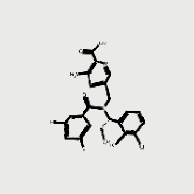 CC[C@@H](c1cccc(Cl)c1Cl)N(Cc1cnc(C(=O)O)c(N)c1)C(=O)c1cc(F)cc(F)c1